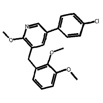 COc1cccc(Cc2cc(-c3ccc(Cl)cc3)cnc2OC)c1OC